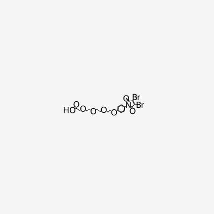 O=C(O)COCCOCCOCCOc1ccc(N2C(=O)C(Br)=C(Br)C2=O)cc1